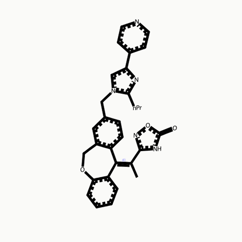 CCCc1nc(-c2ccncc2)cn1Cc1ccc2c(c1)COc1ccccc1/C2=C(\C)c1noc(=O)[nH]1